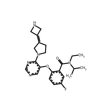 CCN(C(=O)c1cc(F)ccc1Oc1cncnc1N1CCC(=C2CNC2)C1)C(C)C